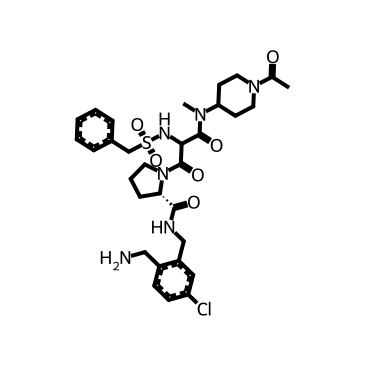 CC(=O)N1CCC(N(C)C(=O)C(NS(=O)(=O)Cc2ccccc2)C(=O)N2CCC[C@H]2C(=O)NCc2cc(Cl)ccc2CN)CC1